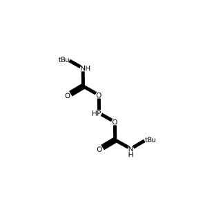 CC(C)(C)NC(=O)OPOC(=O)NC(C)(C)C